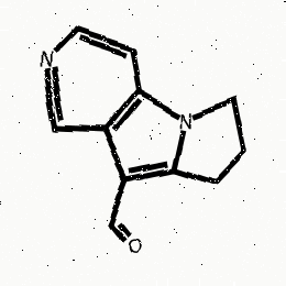 O=Cc1c2n(c3ccncc13)CCC2